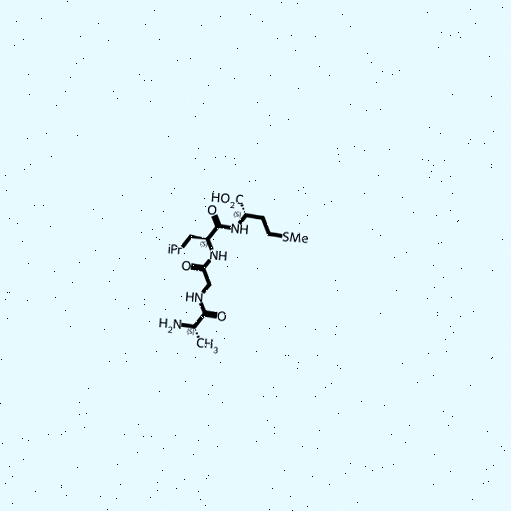 CSCC[C@H](NC(=O)[C@H](CC(C)C)NC(=O)CNC(=O)[C@H](C)N)C(=O)O